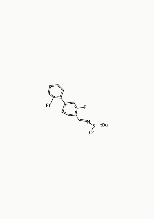 CCc1ccccc1-c1ccc(/C=N/[S@@+]([O-])C(C)(C)C)c(F)c1